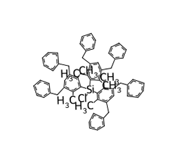 Cc1c(Cc2ccccc2)cc(Cc2ccccc2)c(C)c1[Si](Cl)(c1c(C)c(Cc2ccccc2)cc(Cc2ccccc2)c1C)c1c(C)c(Cc2ccccc2)cc(Cc2ccccc2)c1C